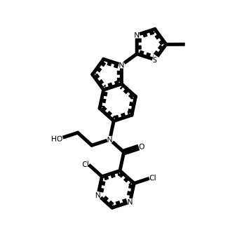 Cc1cnc(-n2ccc3cc(N(CCO)C(=O)c4c(Cl)ncnc4Cl)ccc32)s1